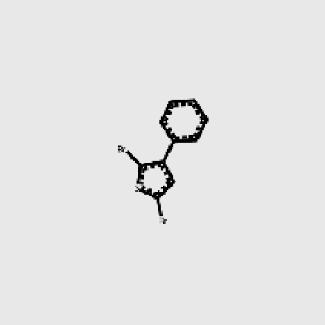 Brc1cc(-c2ccccc2)c(Br)s1